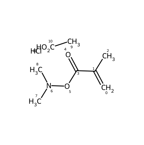 C=C(C)C(=O)ON(C)C.CC(=O)O.Cl